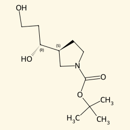 CC(C)(C)OC(=O)N1CC[C@H]([C@H](O)CCO)C1